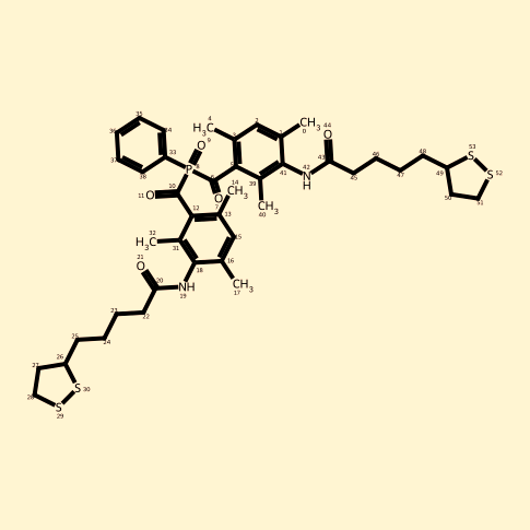 Cc1cc(C)c(C(=O)P(=O)(C(=O)c2c(C)cc(C)c(NC(=O)CCCCC3CCSS3)c2C)c2ccccc2)c(C)c1NC(=O)CCCCC1CCSS1